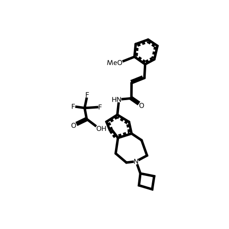 COc1ccccc1C=CC(=O)Nc1ccc2c(c1)CCN(C1CCC1)CC2.O=C(O)C(F)(F)F